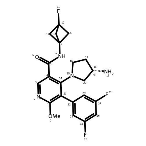 COc1ncc(C(=O)NC23CC(F)(C2)C3)c(N2CC[C@H](N)C2)c1-c1cc(F)cc(F)c1